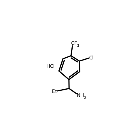 CCC(N)c1ccc(C(F)(F)F)c(Cl)c1.Cl